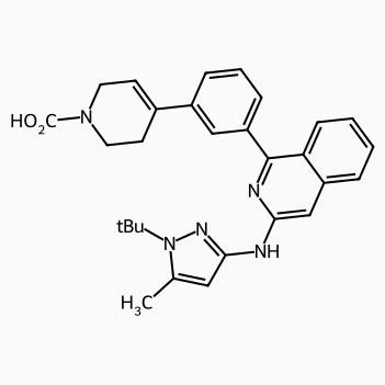 Cc1cc(Nc2cc3ccccc3c(-c3cccc(C4=CCN(C(=O)O)CC4)c3)n2)nn1C(C)(C)C